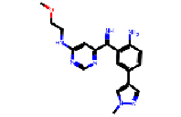 COCCNc1cc(C(=N)c2cc(-c3cnn(C)c3)ccc2N)ncn1